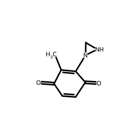 CC1=C(N2CN2)C(=O)C=CC1=O